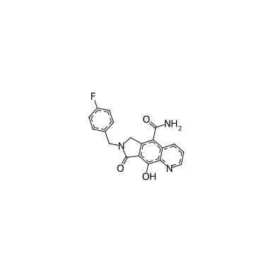 NC(=O)c1c2c(c(O)c3ncccc13)C(=O)N(Cc1ccc(F)cc1)C2